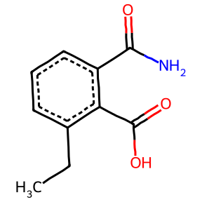 CCc1cccc(C(N)=O)c1C(=O)O